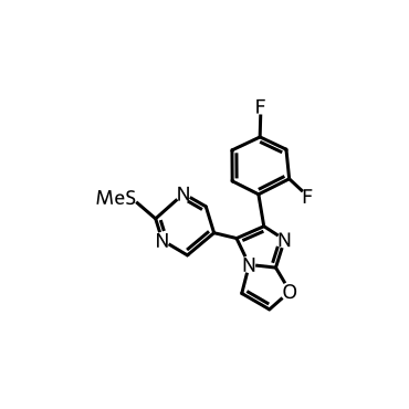 CSc1ncc(-c2c(-c3ccc(F)cc3F)nc3occn23)cn1